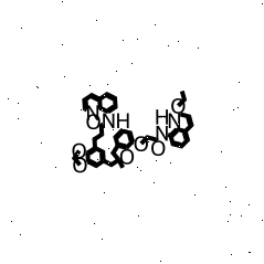 CCOc1ccc2cccc(NC(=O)COc3cccc4c3OC(C)(Cc3cc(CCC(=O)Nc5cccc6cccnc56)c5c(c3)OCO5)C4)c2n1